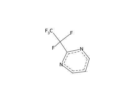 FC(F)(F)C(F)(F)c1nc[c]cn1